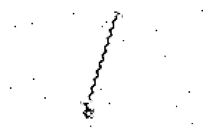 CCCCCCCCCCCCCCCCCCCCCOC(=O)c1ccon1